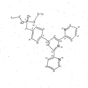 CCOP(=O)(Cc1ccc(-c2cc(-c3ccccn3)nc(-c3ccccn3)c2)cc1)OCC